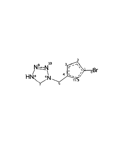 Brc1ccc(CN2CNN=N2)s1